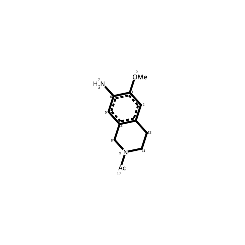 COc1cc2c(cc1N)CN(C(C)=O)CC2